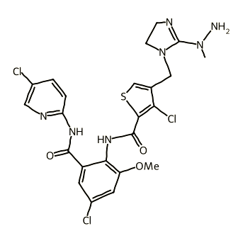 COc1cc(Cl)cc(C(=O)Nc2ccc(Cl)cn2)c1NC(=O)c1scc(CN2CCN=C2N(C)N)c1Cl